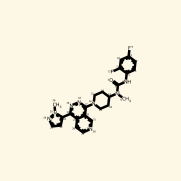 CN(C(=O)Nc1ccc(F)cc1F)C1CCN(c2nnc(-c3ccnn3C)c3ccncc23)CC1